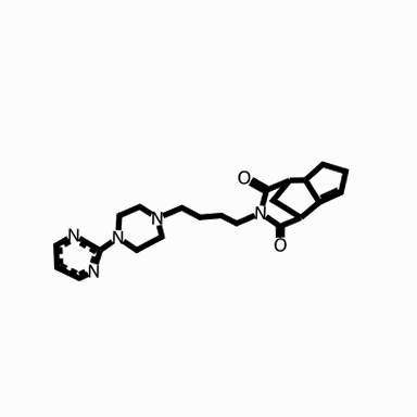 O=C1C2CC(C(=O)N1CCCCN1CCN(c3ncccn3)CC1)C1CCC=C21